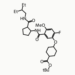 CCC(CC)CNC(=O)C1CCCC1NC(=O)c1cc(OC2CCC(C(=O)OC(C)(C)C)CC2)c(F)cc1OC